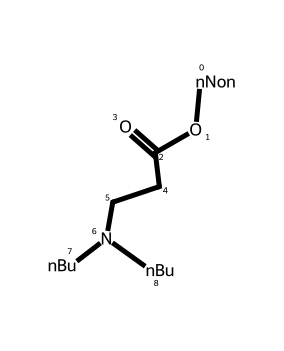 CCCCCCCCCOC(=O)CCN(CCCC)CCCC